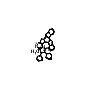 Cc1nnc2c(c1C)-c1c(c3c(c4c1=c1c(-c5nnnc(-c6ccccc6)c5-c5ccccc5)cccc1=C4)-c1ccccc1C=3)C2